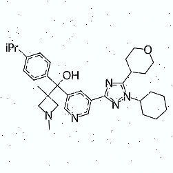 CC(C)c1ccc(C(O)(c2cncc(-c3nc(C4CCOCC4)n(C4CCCCC4)n3)c2)C2(C)CN(C)C2)cc1